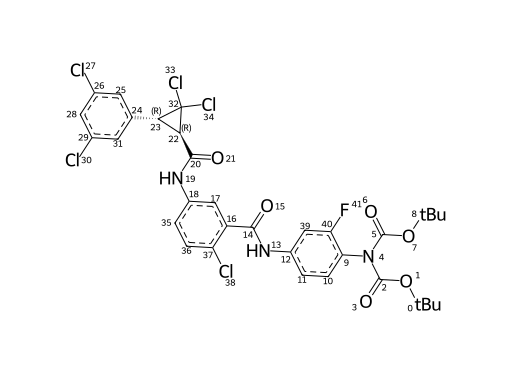 CC(C)(C)OC(=O)N(C(=O)OC(C)(C)C)c1ccc(NC(=O)c2cc(NC(=O)[C@H]3[C@H](c4cc(Cl)cc(Cl)c4)C3(Cl)Cl)ccc2Cl)cc1F